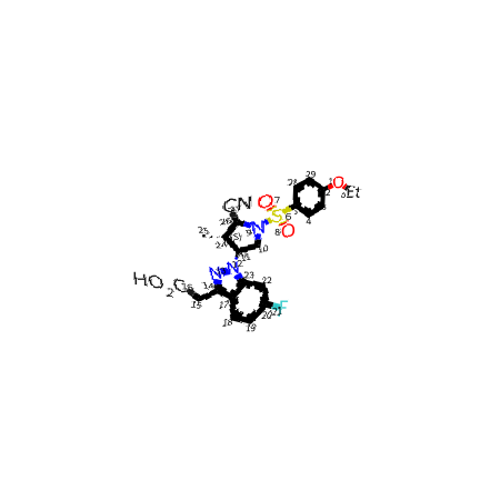 CCOc1ccc(S(=O)(=O)N2C[C@H](n3nc(CC(=O)O)c4ccc(F)cc43)[C@H](C)C2C#N)cc1